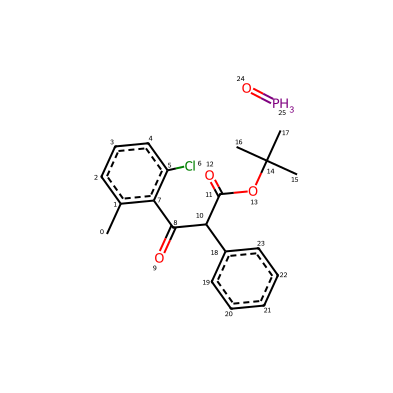 Cc1cccc(Cl)c1C(=O)C(C(=O)OC(C)(C)C)c1ccccc1.O=[PH3]